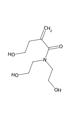 C=C(CCO)C(=O)N(CCO)CCO